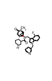 Cn1ccc([C@H]2CCNCC2C(=O)N(Cc2cn(Cc3cccnc3)c3cccc(F)c23)C2CC2)cc1=O